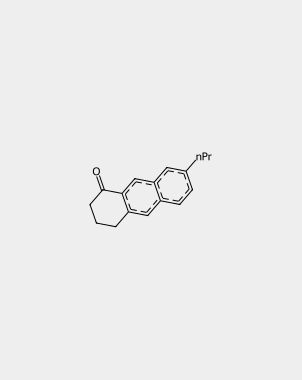 CCCc1ccc2cc3c(cc2c1)C(=O)CCC3